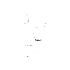 NC(=O)c1[nH]cnc1OC(=O)C1CCCCC1C(=O)O